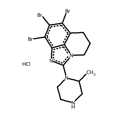 CC1CNCCN1c1nc2c(Br)c(Br)c(Br)c3c2n1CCC3.Cl